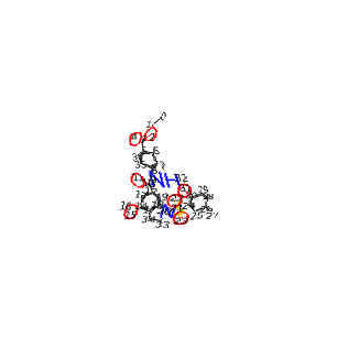 CCOC(=O)c1ccc(NC(=O)c2cc(OC)c3c(c2)N(S(=O)(=O)c2cc(C)ccc2OC)CC3)cc1